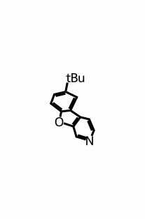 CC(C)(C)c1ccc2oc3cnccc3c2c1